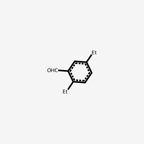 CCc1ccc(CC)c(C=O)c1